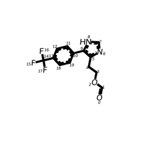 O=COCCc1nc[nH]c1-c1ccc(C(F)(F)F)cc1